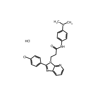 CN(C)c1ccc(NC(=O)CCn2c(-c3ccc(Cl)cc3)nc3cccnc32)cc1.Cl